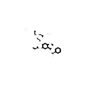 C=CC(=O)Nc1cc2c(N[C@H](C)c3ccccc3)ncnc2cc1OCCN(CC(=O)OC)CC(=O)OC